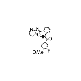 COc1ccc(C(=O)Nc2ccccc2-c2nc3ncccc3o2)cc1F